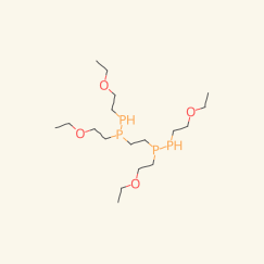 CCOCCPP(CCOCC)CCP(CCOCC)PCCOCC